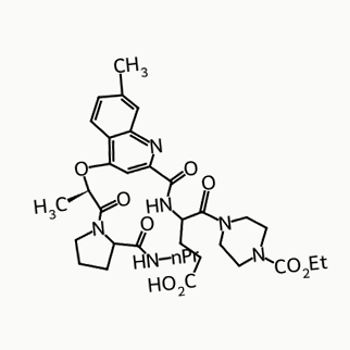 CCCNC(=O)C1CCCN1C(=O)[C@@H](C)Oc1cc(C(=O)NC(CCC(=O)O)C(=O)N2CCN(C(=O)OCC)CC2)nc2cc(C)ccc12